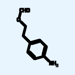 Nc1ccc(CCOC=O)cc1